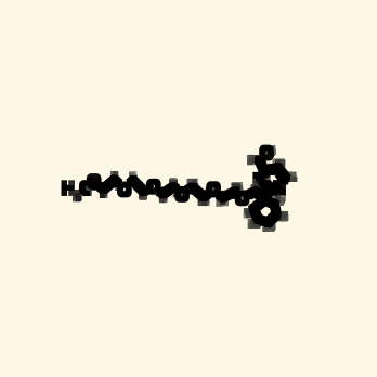 COCCOCCOCCOCCOCCOCC1(c2nccc(C=O)n2)CCCCC1